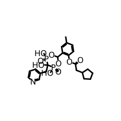 Cc1ccc(OC(=O)CC2CCCC2)c(C2OP(=O)(O)C(O)(Cc3cccnc3)P(=O)(O)O2)c1